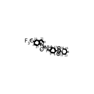 O=C(NCc1ccc(S(=O)(=O)N2CCCCC2)cc1)n1ccc2cc(C(F)(F)F)ccc21